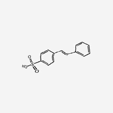 O=S(=O)(O)c1ccc(/C=I/c2ccccc2)cc1